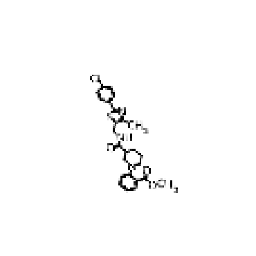 COC(=O)c1ccccc1N1CCCC(C(=O)NCc2sc(-c3ccc(Cl)cc3)nc2C)C1